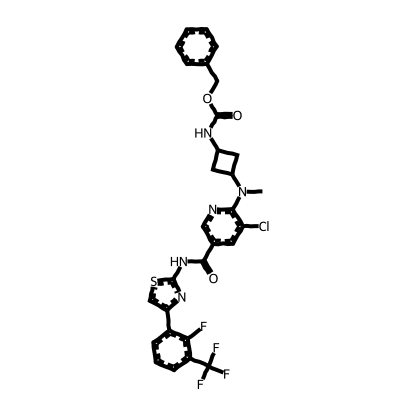 CN(c1ncc(C(=O)Nc2nc(-c3cccc(C(F)(F)F)c3F)cs2)cc1Cl)C1CC(NC(=O)OCc2ccccc2)C1